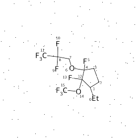 [CH2]CC1C[CH]C(F)(OCC(F)(F)C(F)(F)F)C1(F)OC(F)(F)F